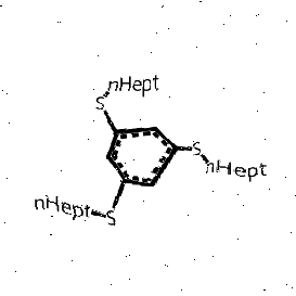 CCCCCCCSc1cc(SCCCCCCC)cc(SCCCCCCC)c1